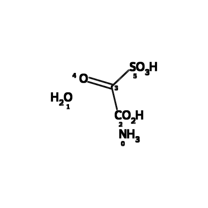 N.O.O=C(O)C(=O)S(=O)(=O)O